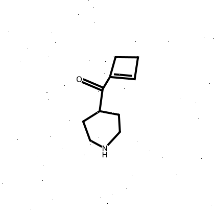 O=C(C1=CCC1)C1CCNCC1